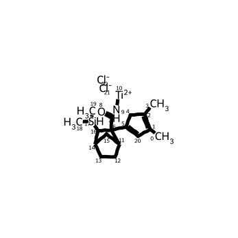 CC1=C(C)CC(C2(C(=O)[NH][Ti+2])C3CCC(C3)C2[SiH](C)C)=C1.[Cl-].[Cl-]